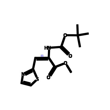 COC(=O)/C(=C\c1nccs1)NC(=O)OC(C)(C)C